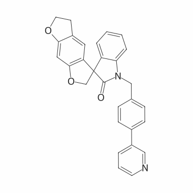 O=C1N(Cc2ccc(-c3cccnc3)cc2)c2ccccc2C12COc1cc3c(cc12)CCO3